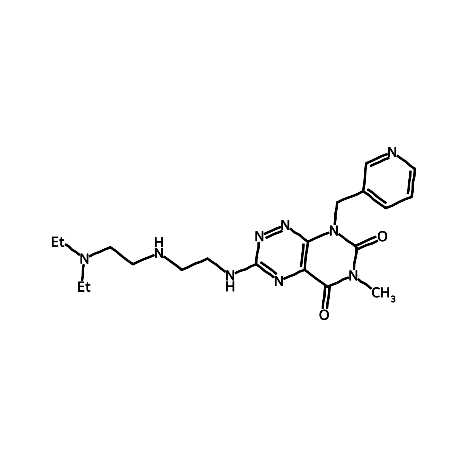 CCN(CC)CCNCCNc1nnc2c(n1)c(=O)n(C)c(=O)n2Cc1cccnc1